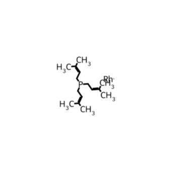 CC(C)=CCP(CC=C(C)C)CC=C(C)C.[Rh]